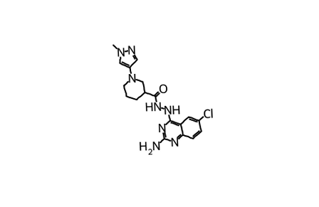 Cn1cc(N2CCCC(C(=O)NNc3nc(N)nc4ccc(Cl)cc34)C2)cn1